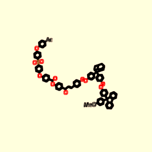 COc1ccc(C2(c3ccc(OOc4ccc(C5(c6ccc(OOc7ccc(C=CC(=O)c8ccc(OC(=O)c9ccc(Oc%10ccc(S(=O)(=O)c%11ccc(Oc%12ccc(C(C)=O)cc%12)cc%11)cc%10)cc9)cc8)cc7)cc6)C6CC7CC(C6)CC5C7)cc4)cc3)c3ccccc3-c3ccccc32)cc1